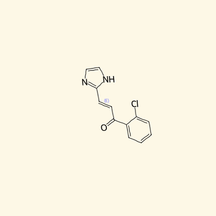 O=C(/C=C/c1ncc[nH]1)c1ccccc1Cl